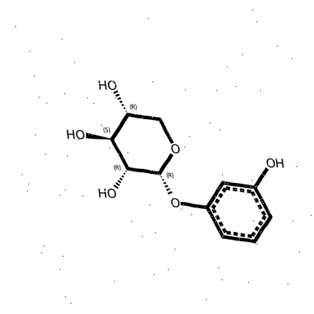 Oc1cccc(O[C@H]2OC[C@@H](O)[C@H](O)[C@H]2O)c1